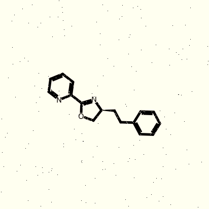 c1ccc(CC[C@H]2COC(c3ccccn3)=N2)cc1